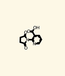 O=C(O)c1cccnc1N1C(=O)CCC1=O